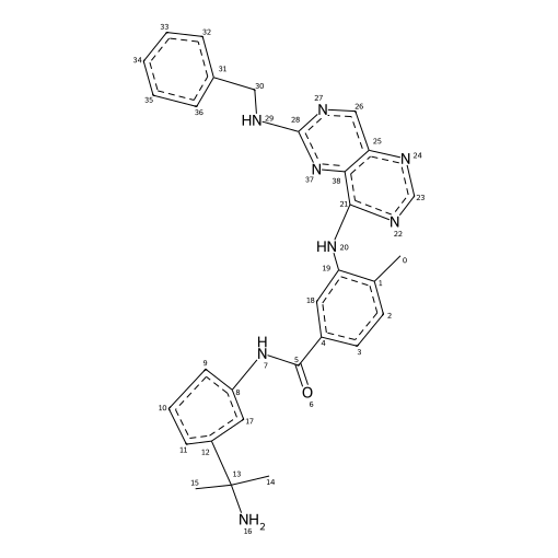 Cc1ccc(C(=O)Nc2cccc(C(C)(C)N)c2)cc1Nc1ncnc2cnc(NCc3ccccc3)nc12